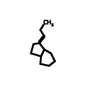 CCC=C1CCC2CCCCC12